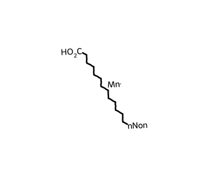 CCCCCCCCCCCCCCCCCCCCCC(=O)O.[Mn]